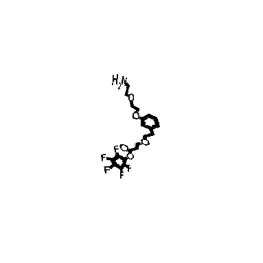 NCCOCCOc1cccc(CCOCCC(=O)Oc2c(F)c(F)c(F)c(F)c2F)c1